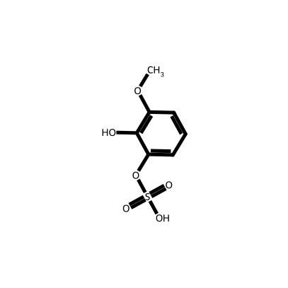 COc1cccc(OS(=O)(=O)O)c1O